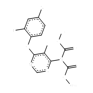 CC(C)(C)OC(=O)N(C(=O)OC(C)(C)C)c1ncnc(Oc2ccc(N)cc2F)c1Cl